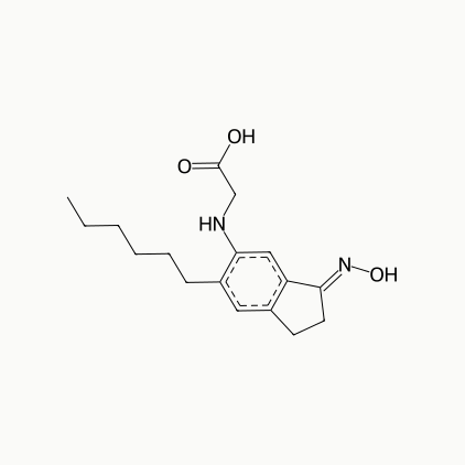 CCCCCCc1cc2c(cc1NCC(=O)O)/C(=N/O)CC2